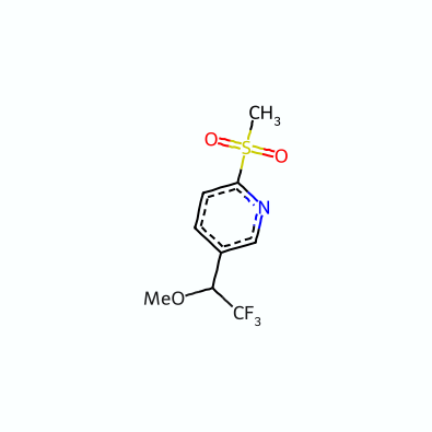 COC(c1ccc(S(C)(=O)=O)nc1)C(F)(F)F